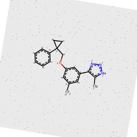 N#Cc1[nH]nnc1-c1cc(OCC2(c3ccccc3)CC2)cc(C(F)(F)F)c1